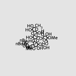 CCCCOP(=O)(OCCCC)OCCCC.COC1C(CO)OC(OCC2OC(OC3C(CO)OC(C)C(O)C3O)C(O)C(O)C2OC2OC(CO)C(OC)C(O)C2OCCO)C(O)C1O